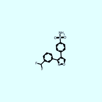 NS(=O)(=O)c1ccc(-c2conc2-c2cccc(C(F)F)c2)cc1